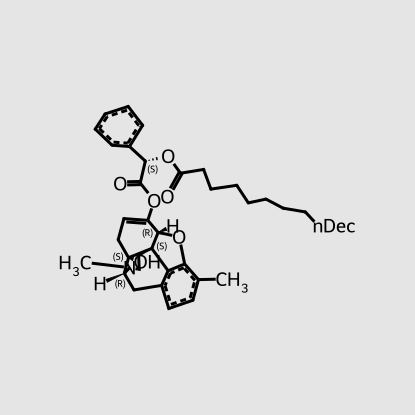 CCCCCCCCCCCCCCCCCC(=O)O[C@H](C(=O)OC1=CC[C@@]2(O)[C@H]3Cc4ccc(C)c5c4[C@@]2(CCN3C)[C@H]1O5)c1ccccc1